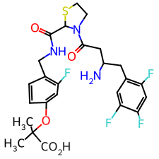 CC(C)(Oc1ccc(CNC(=O)C2SCCN2C(=O)CC(N)Cc2cc(F)c(F)cc2F)c(F)c1)C(=O)O